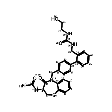 CCCC(=O)N[C@@H]1CSc2ccccc2N(Cc2ccc(-c3ccccc3CNC(=O)NCCO)cc2)C1=O